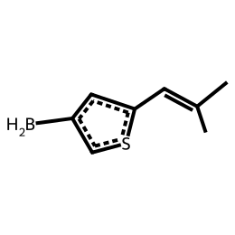 Bc1csc(C=C(C)C)c1